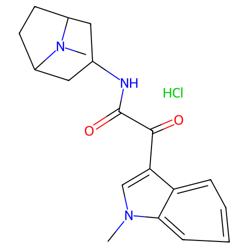 CN1C2CCC1CC(NC(=O)C(=O)c1cn(C)c3ccccc13)C2.Cl